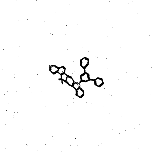 CC1(C)c2cc3c4ccccc4n(-c4cc(-c5ccccc5)cc(-c5ccccc5)c4)c3cc2-c2ccc3ccccc3c21